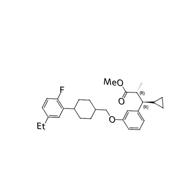 CCc1ccc(F)c(C2CCC(COc3cccc([C@H](C4CC4)[C@@H](C)C(=O)OC)c3)CC2)c1